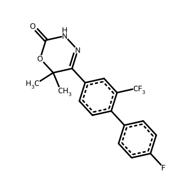 CC1(C)OC(=O)NN=C1c1ccc(-c2ccc(F)cc2)c(C(F)(F)F)c1